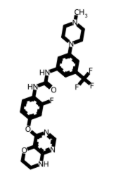 CN1CCN(c2cc(NC(=O)Nc3ccc(Oc4ncnc5c4OCCN5)cc3F)cc(C(F)(F)F)c2)CC1